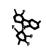 Cc1ccc2c(c1)c1c(F)c(C)ccc1n2-c1c(F)cc(C)c(F)c1F